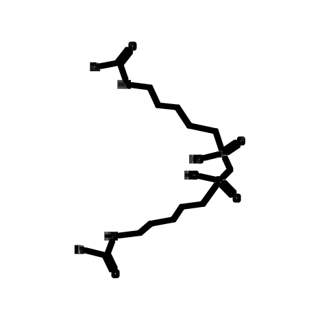 CCC(=O)NCCCCCP(=O)(O)CP(=O)(O)CCCCCNC(=O)CC